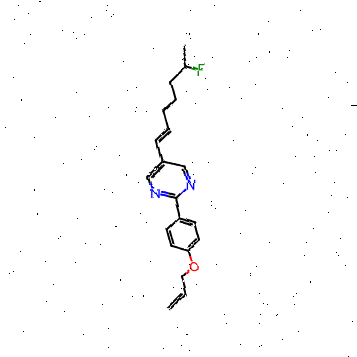 C=CCOc1ccc(-c2ncc(C=CCCCC(C)F)cn2)cc1